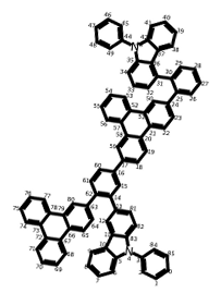 c1ccc(-n2c3ccccc3c3cc(-c4cc(-c5ccc6c7ccc(-c8ccccc8-c8cccc9c8c8ccccc8n9-c8ccccc8)cc7c7ccccc7c6c5)ccc4-c4ccc5c6ccccc6c6ccccc6c5c4)ccc32)cc1